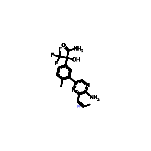 C/C=C\c1nc(-c2cc(C(O)(C(N)=O)C(F)(F)F)ccc2C)cnc1N